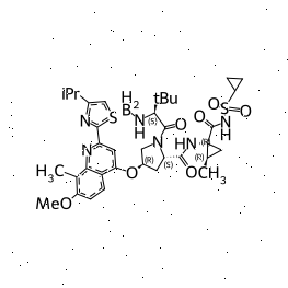 BN[C@H](C(=O)N1C[C@H](Oc2cc(-c3nc(C(C)C)cs3)nc3c(C)c(OC)ccc23)C[C@H]1C(=O)N[C@]1(C(=O)NS(=O)(=O)C2CC2)C[C@H]1C)C(C)(C)C